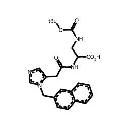 CC(C)(C)OC(=O)NCC(NC(=O)Cc1cncn1Cc1ccc2ccccc2c1)C(=O)O